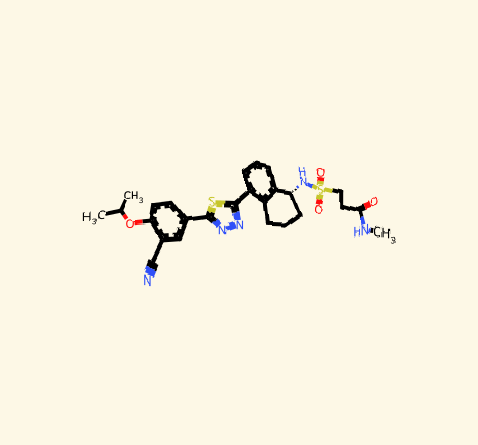 CNC(=O)CCS(=O)(=O)N[C@@H]1CCCc2c(-c3nnc(-c4ccc(OC(C)C)c(C#N)c4)s3)cccc21